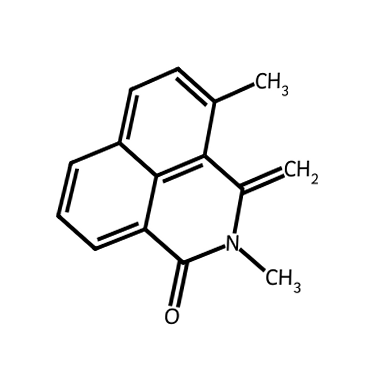 C=c1c2c(C)ccc3cccc(c(=O)n1C)c32